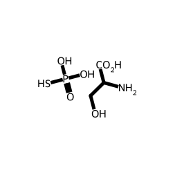 NC(CO)C(=O)O.O=P(O)(O)S